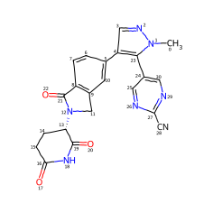 Cn1ncc(-c2ccc3c(c2)CN([C@H]2CCC(=O)NC2=O)C3=O)c1-c1cnc(C#N)nc1